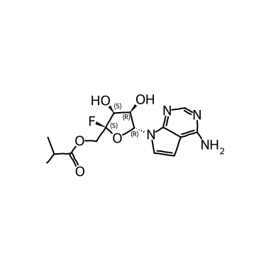 CC(C)C(=O)OC[C@@]1(F)O[C@@H](n2ccc3c(N)ncnc32)[C@H](O)[C@@H]1O